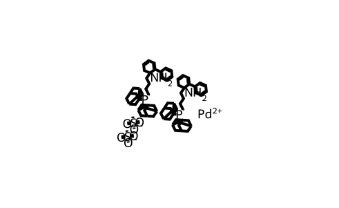 CS(=O)(=O)[O-].CS(=O)(=O)[O-].NC1(CCCCP(C23CC4CC(CC(C4)C2)C3)C23CC4CC(CC(C4)C2)C3)CC=CC=C1c1ccccc1.NC1(CCCCP(C23CC4CC(CC(C4)C2)C3)C23CC4CC(CC(C4)C2)C3)CC=CC=C1c1ccccc1.[Pd+2]